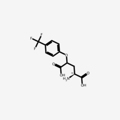 N[C@@H](CC(Oc1ccc(C(F)(F)F)cc1)C(=O)O)C(=O)O